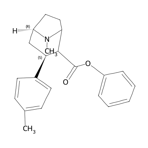 Cc1ccc([C@H]2C[C@H]3CCC(C2C(=O)Oc2ccccc2)N3C)cc1